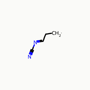 [CH2]C/C=N/C#N